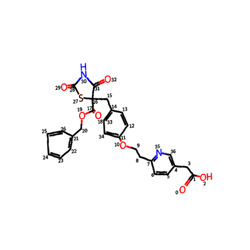 O=C(O)Cc1ccc(CCOc2ccc(CC3(C(=O)OCc4ccccc4)SC(=O)NC3=O)cc2)nc1